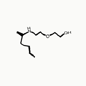 C=C(CCCC)NCCOCCO